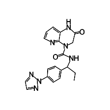 CCC(NC(=O)N1CC(=O)Nc2cccnc21)c1ccc(-n2nccn2)cc1